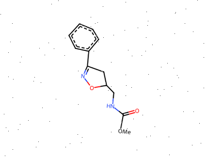 COC(=O)NCC1CC(c2ccccc2)=NO1